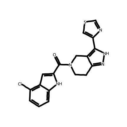 O=C(c1cc2c(Cl)cccc2[nH]1)N1CCc2n[nH]c(-c3cscn3)c2C1